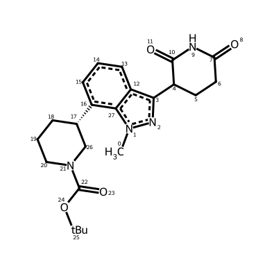 Cn1nc(C2CCC(=O)NC2=O)c2cccc([C@H]3CCCN(C(=O)OC(C)(C)C)C3)c21